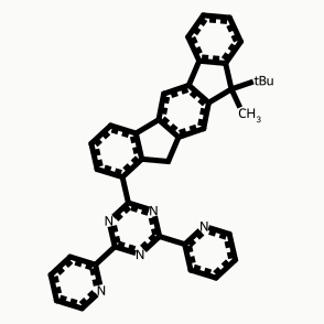 CC(C)(C)C1(C)c2ccccc2-c2cc3c(cc21)Cc1c(-c2nc(-c4ccccn4)nc(-c4ccccn4)n2)cccc1-3